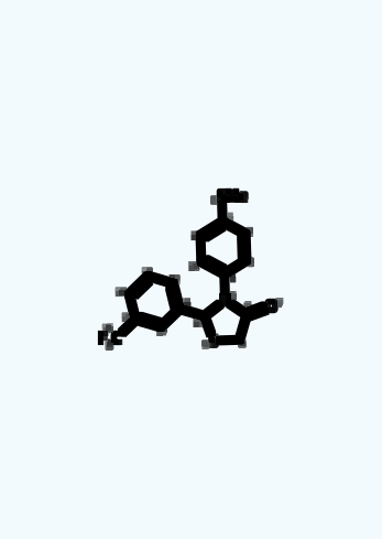 CSc1ccc(N2C(=O)CSC2c2cccc(C(F)(F)F)c2)cc1